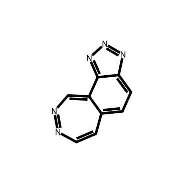 c1cc2ccc3nnnc3c2cnn1